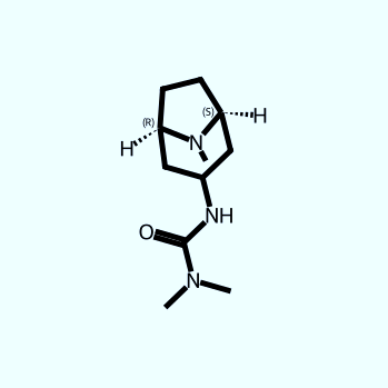 CN(C)C(=O)NC1C[C@H]2CC[C@@H](C1)N2C